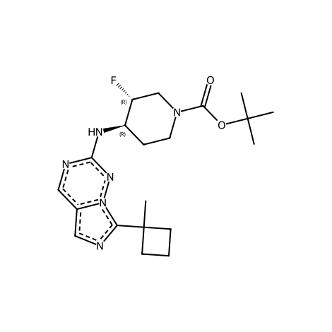 CC(C)(C)OC(=O)N1CC[C@@H](Nc2ncc3cnc(C4(C)CCC4)n3n2)[C@H](F)C1